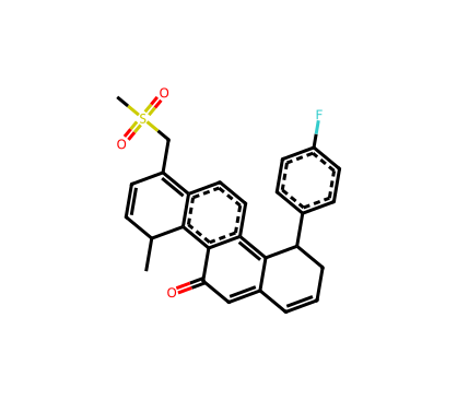 CC1C=CC(CS(C)(=O)=O)=c2ccc3c(c21)C(=O)C=C1C=CCC(c2ccc(F)cc2)C=31